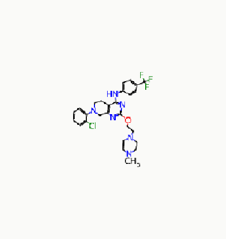 CN1CCN(CCOc2nc3c(c(Nc4ccc(C(F)(F)F)cc4)n2)CCN(c2ccccc2Cl)C3)CC1